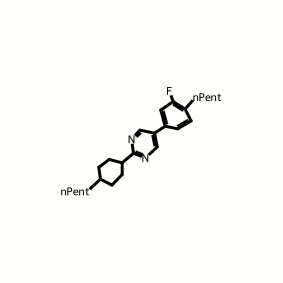 CCCCCc1ccc(-c2cnc(C3CCC(CCCCC)CC3)nc2)cc1F